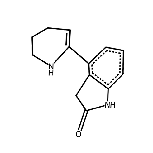 O=C1Cc2c(cccc2C2=CCCCN2)N1